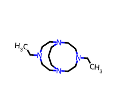 CCN1CCN2CCCN(CC1)CCN(CC)CC2